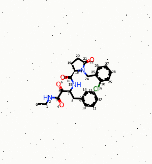 CCNC(=O)C(=O)C(Cc1ccccc1)NC(=O)[C@H]1CCC(=O)N1Cc1ccccc1Cl